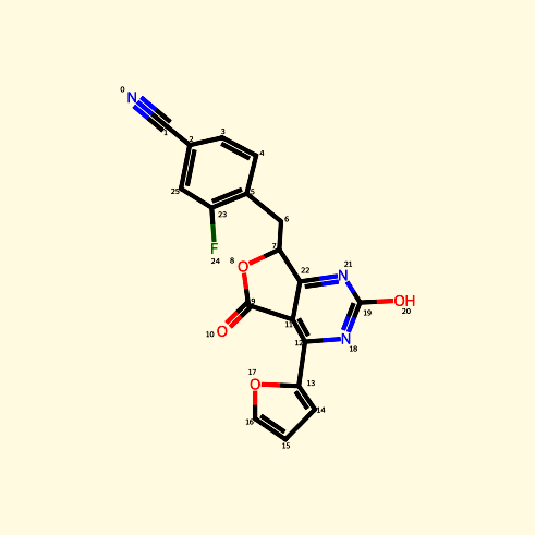 N#Cc1ccc(CC2OC(=O)c3c(-c4ccco4)nc(O)nc32)c(F)c1